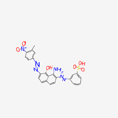 Cc1cc(N=Nc2ccc3ccc(N=Nc4cccc(S(=O)(=O)O)c4)c(N)c3c2O)ccc1[N+](=O)[O-]